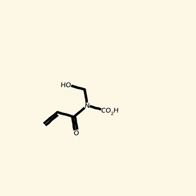 C=CC(=O)N(CO)C(=O)O